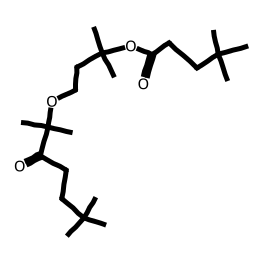 CC(C)(C)CCC(=O)OC(C)(C)CCOC(C)(C)C(=O)CCC(C)(C)C